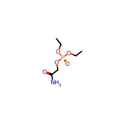 CCOP(=O)(OCC)OCC(N)=O